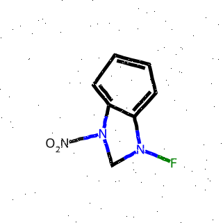 O=[N+]([O-])N1CN(F)c2ccccc21